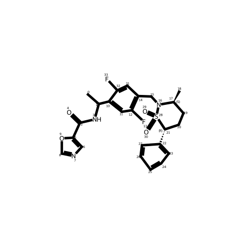 CC(NC(=O)c1cnco1)c1cc(F)c(CN2[C@@H](C)CC[C@H](c3ccccc3)S2(=O)=O)cc1F